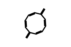 C=c1ccccc(=C)cccc1